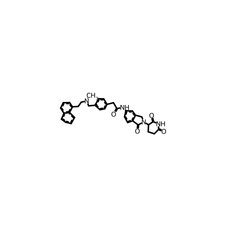 CN(CCc1cccc2ccccc12)Cc1ccc(CC(=O)Nc2ccc3c(c2)CN(C2CCC(=O)NC2=O)C3=O)cc1